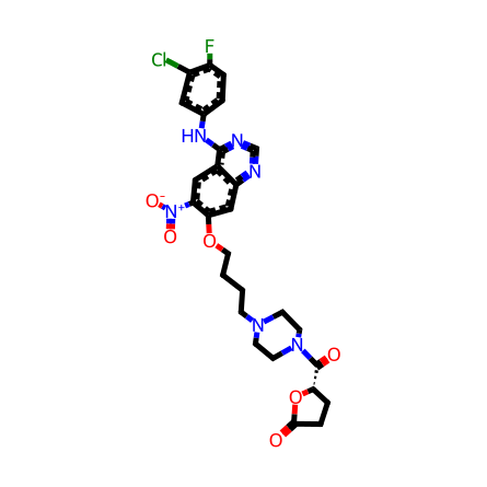 O=C1CC[C@@H](C(=O)N2CCN(CCCCOc3cc4ncnc(Nc5ccc(F)c(Cl)c5)c4cc3[N+](=O)[O-])CC2)O1